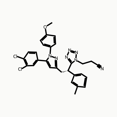 COc1ccc(-n2nc(C[C@@H](c3cccc(C)c3)c3nnnn3CCC#N)cc2-c2ccc(Cl)c(Cl)c2)cc1